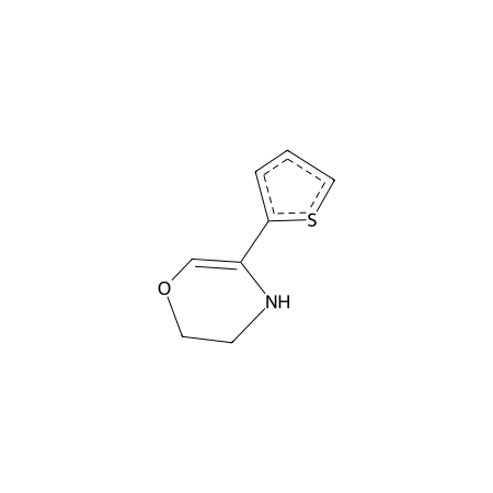 C1=C(c2cccs2)NCCO1